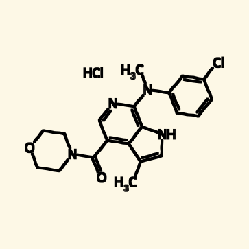 Cc1c[nH]c2c(N(C)c3cccc(Cl)c3)ncc(C(=O)N3CCOCC3)c12.Cl